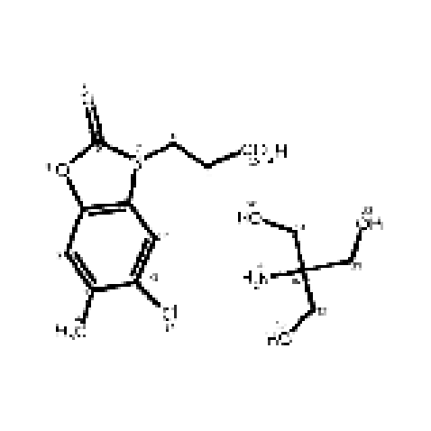 Cc1cc2oc(=O)n(CCC(=O)O)c2cc1Cl.NC(CO)(CO)CO